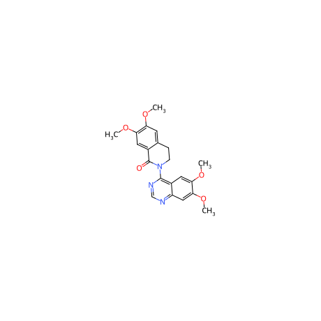 COc1cc2c(cc1OC)C(=O)N(c1ncnc3cc(OC)c(OC)cc13)CC2